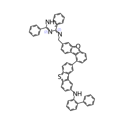 N/C(=N\C(=N/Cc1ccc2c(c1)oc1cccc(-c3ccc4sc5ccc(Nc6ccccc6-c6ccccc6)cc5c4c3)c12)c1ccccc1)c1ccccc1